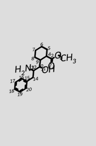 COC(=O)C1CCCCC1C(O)C(N)Cc1ccccc1